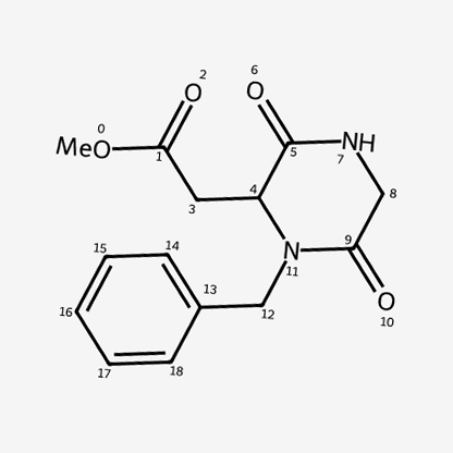 COC(=O)CC1C(=O)NCC(=O)N1Cc1ccccc1